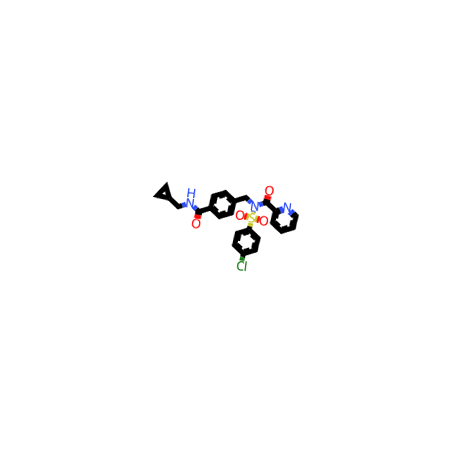 O=C(NCC1CC1)c1ccc(CN(C(=O)c2ccccn2)S(=O)(=O)c2ccc(Cl)cc2)cc1